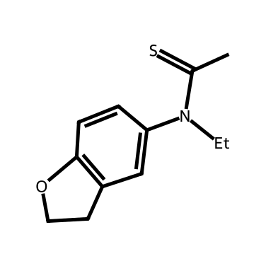 CCN(C(C)=S)c1ccc2c(c1)CCO2